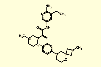 CCc1cc(NC(=O)C(=O)N2C[C@H](C)CC[C@H]2c2ccc(N3CCOC4(CN(C)C4)C3)cc2)cnc1N